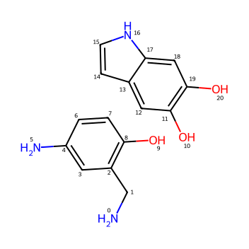 NCc1cc(N)ccc1O.Oc1cc2cc[nH]c2cc1O